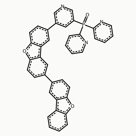 O=P(c1cncc(-c2ccc3oc4ccc(-c5ccc6oc7ccccc7c6c5)cc4c3c2)c1)(c1ccccn1)c1ccccn1